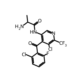 CC(N)C(=O)Nc1cnc(C(F)(F)F)c(Cl)c1C(=O)c1c(F)cccc1Cl